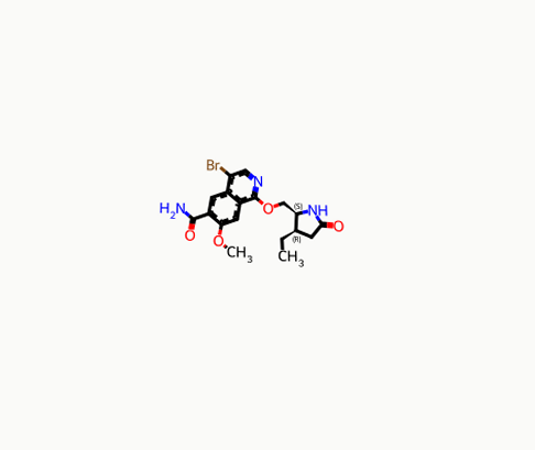 CC[C@@H]1CC(=O)N[C@@H]1COc1ncc(Br)c2cc(C(N)=O)c(OC)cc12